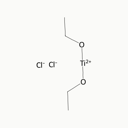 CC[O][Ti+2][O]CC.[Cl-].[Cl-]